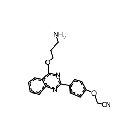 N#CCOc1ccc(-c2nc(OCCCN)c3ccccc3n2)cc1